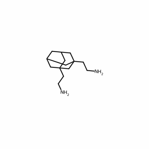 NCCC12CC3CC(C1)CC(CCN)(C3)C2